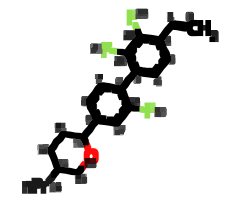 C=Cc1ccc(-c2ccc(C3CCC(CCC)CO3)cc2F)c(F)c1F